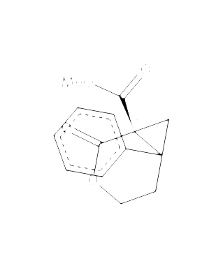 COC(=O)[C@@]12CC1(c1ccccc1)CCOC2=O